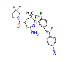 CC1CC(C(=O)N2CCC(F)(F)C2)SC(N)=N[C@]1(C)c1cc(/C=C(\F)c2ccc(C#N)cn2)ccc1F